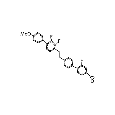 COc1ccc(-c2ccc(/C=C/c3ccc(-c4ccc(C5CO5)cc4F)cc3)c(F)c2F)cc1